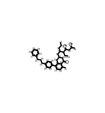 CCCC(CC1CC(=O)c2c(C)ccc(-c3ccc(CCCc4ccccc4)cc3)c2C1)C(CC)C(=O)CC(C)=O